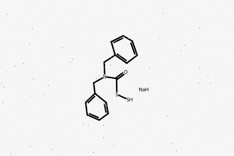 O=C(SS)N(Cc1ccccc1)Cc1ccccc1.[NaH]